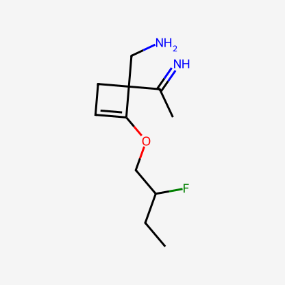 CCC(F)COC1=CCC1(CN)C(C)=N